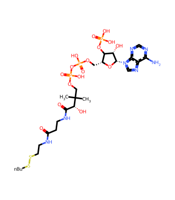 CCCCSSCCNC(=O)CCNC(=O)[C@@H](O)C(C)(C)COP(=O)(O)OP(=O)(O)OC[C@H]1O[C@@H](n2cnc3c(N)ncnc32)[C@@H](O)C1OP(=O)(O)O